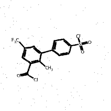 Cc1c(C(=O)Cl)cc(C(F)(F)F)cc1-c1ccc(S(=O)(=O)Cl)cc1